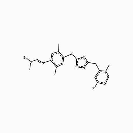 CCN(C)C=Nc1cc(C)c(Oc2nc(Cc3cc(Br)ccc3C)ns2)cc1C